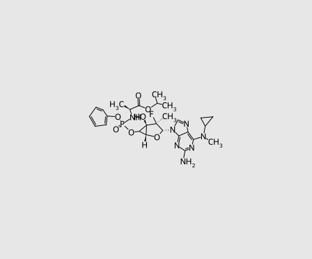 CC(C)OC(=O)[C@H](C)NP(=O)(Oc1ccccc1)OC1[C@H]2O[C@@H](n3cnc4c(N(C)C5CC5)nc(N)nc43)[C@](C)(F)[C@@]12O